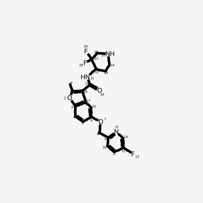 Cc1oc2ccc(OCc3ccc(F)cn3)cc2c1C(=O)NC1CCNCC1(F)F